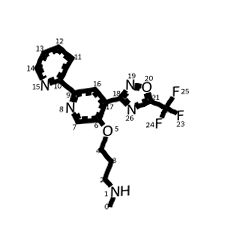 CNCCCOc1cnc(-c2ccccn2)cc1-c1noc(C(F)(F)F)n1